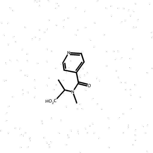 CC(C(=O)O)N(C)C(=O)c1ccncc1